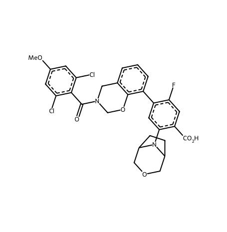 COc1cc(Cl)c(C(=O)N2COc3c(cccc3-c3cc(N4C5CCC4COC5)c(C(=O)O)cc3F)C2)c(Cl)c1